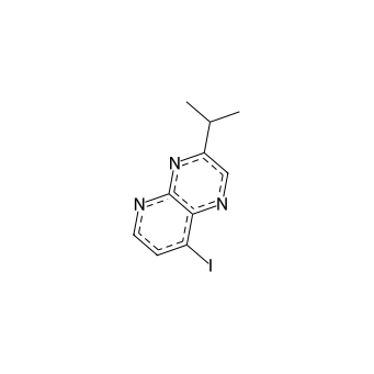 CC(C)c1cnc2c(I)ccnc2n1